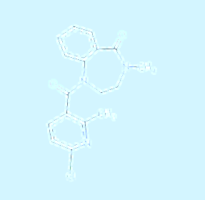 Cc1nc(Cl)ccc1C(=O)N1CCN(C)C(=O)c2ccccc21